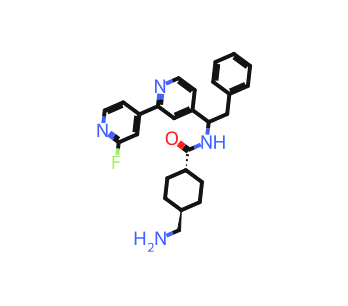 NC[C@H]1CC[C@H](C(=O)NC(Cc2ccccc2)c2ccnc(-c3ccnc(F)c3)c2)CC1